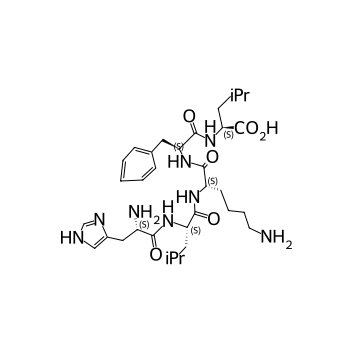 CC(C)C[C@H](NC(=O)[C@H](Cc1ccccc1)NC(=O)[C@H](CCCCN)NC(=O)[C@H](CC(C)C)NC(=O)[C@@H](N)Cc1c[nH]cn1)C(=O)O